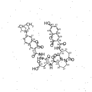 CCN(CC)c1ccc2cc(C(=O)NNC(=O)[C@H](CC(=O)O)NC(=O)[C@@H]3CCCN4C(=O)CC[C@H](NC(=O)c5cc6ccc(O)cc6oc5=O)C(=O)N34)c(=O)oc2c1